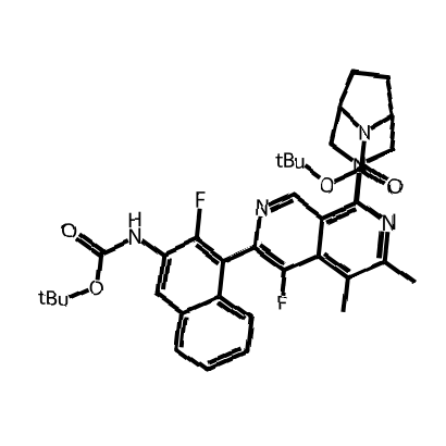 Cc1nc(N2CC3CCC(C2)N3C(=O)OC(C)(C)C)c2cnc(-c3c(F)c(NC(=O)OC(C)(C)C)cc4ccccc34)c(F)c2c1C